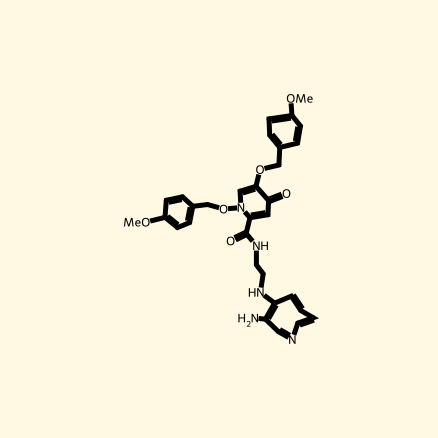 COc1ccc(COc2cn(OCc3ccc(OC)cc3)c(C(=O)NCCNC3=C(N)/C=N\C=C\C=C\3)cc2=O)cc1